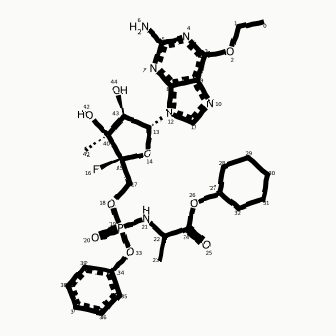 CCOc1nc(N)nc2c1ncn2[C@@H]1O[C@](F)(COP(=O)(NC(C)C(=O)OC2CCCCC2)Oc2ccccc2)[C@@](C)(O)[C@H]1O